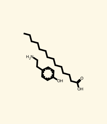 CCCCCCCCCCCCCC(=O)O.NCCc1ccc(O)cc1